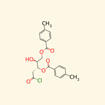 Cc1ccc(C(=O)OC[C@H](O)[C@@H](CC(=O)Cl)OC(=O)c2ccc(C)cc2)cc1